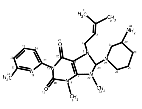 CC(C)=CCN1c2c(n(C)c(=O)n(-c3cccc(C)n3)c2=O)N(C)C1N1CCCC(N)C1